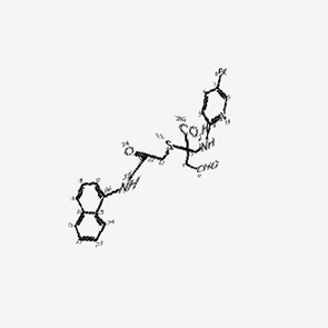 O=CCC(Nc1ccc(Br)cn1)(SCC(=O)Nc1cccc2ccccc12)C(=O)O